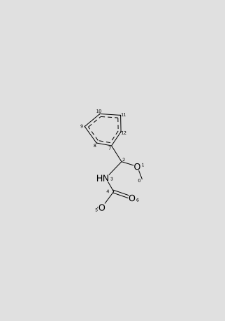 COC(NC([O])=O)c1ccccc1